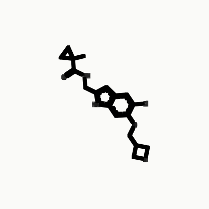 CC1(C(=O)NCc2cc3cc(Cl)c(OCC4COC4)cc3[nH]2)CC1